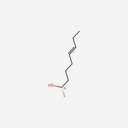 CC/C=C/CCC[C@H](C)O